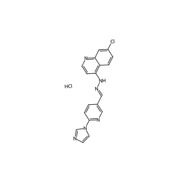 Cl.Clc1ccc2c(N/N=C/c3ccc(-n4ccnc4)nc3)ccnc2c1